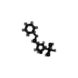 CS(=O)(=O)c1cc(OCc2ccccc2)cs1